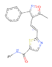 Cc1onc(-c2ccccc2)c1/C=C/c1ncc(C(=O)NC(C)C)s1